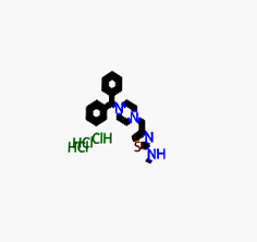 CNc1nc(CN2CCN(C(c3ccccc3)c3ccccc3)CC2)cs1.Cl.Cl.Cl